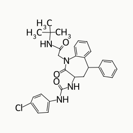 CC(C)(C)NC(=O)CN1C(=O)C(NC(=O)Nc2ccc(Cl)cc2)CC(c2ccccc2)c2ccccc21